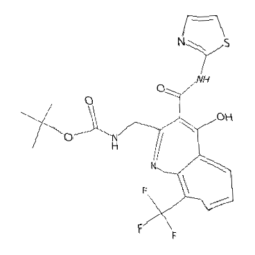 CC(C)(C)OC(=O)NCc1nc2c(C(F)(F)F)cccc2c(O)c1C(=O)Nc1nccs1